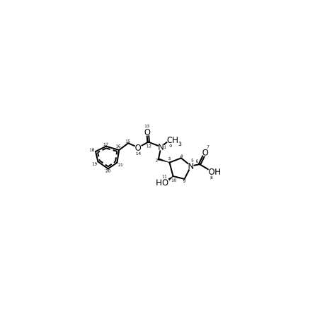 CN(C[C@H]1CN(C(=O)O)C[C@H]1O)C(=O)OCc1ccccc1